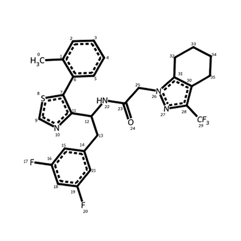 Cc1ccccc1-c1scnc1C(Cc1cc(F)cc(F)c1)NC(=O)Cn1nc(C(F)(F)F)c2c1CCCC2